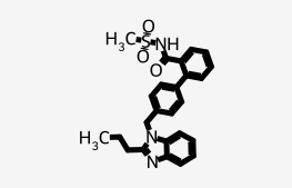 CCCc1nc2ccccc2n1Cc1ccc(-c2ccccc2C(=O)NS(C)(=O)=O)cc1